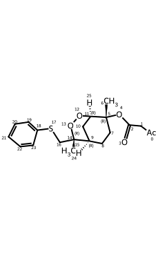 CC(=O)CC(=O)O[C@]1(C)CC[C@@H]2C[C@H]1OO[C@@]2(C)CSc1ccccc1